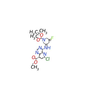 CCOC(=O)c1cc(Cl)nc2c(N[C@H]3C[C@H](F)CN(C(=O)OC(C)(C)C)C3)ncnc12